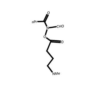 CCCC(=O)N(C=O)OC(=O)CCCNC